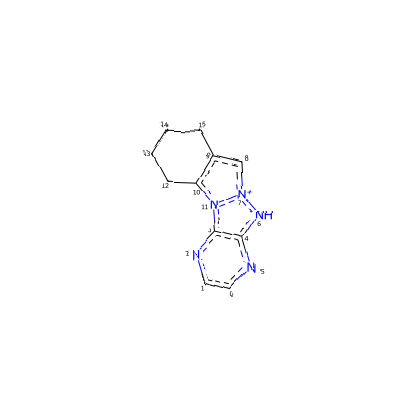 c1cnc2c(n1)[nH][n+]1cc3c(n21)CCCC3